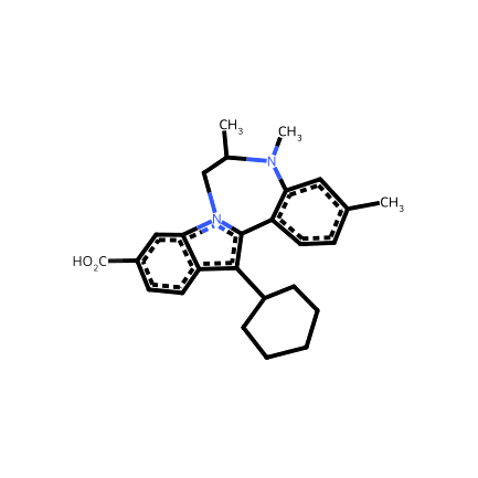 Cc1ccc2c(c1)N(C)C(C)Cn1c-2c(C2CCCCC2)c2ccc(C(=O)O)cc21